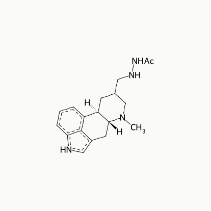 CC(=O)NNCC1C[C@@H]2c3cccc4[nH]cc(c34)C[C@H]2N(C)C1